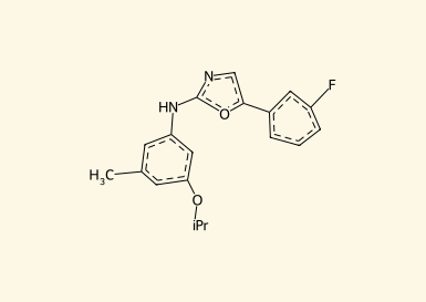 Cc1cc(Nc2ncc(-c3cccc(F)c3)o2)cc(OC(C)C)c1